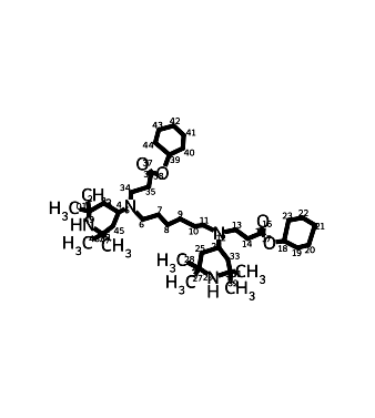 CC1(C)CC(N(CCCCCCN(CCC(=O)OC2CCCCC2)C2CC(C)(C)NC(C)(C)C2)CCC(=O)OC2CCCCC2)CC(C)(C)N1